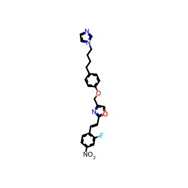 O=[N+]([O-])c1ccc(/C=C/c2nc(COc3ccc(CCCCn4ccnc4)cc3)co2)c(F)c1